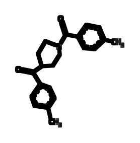 Cc1ccc(C(=O)C2CCN(C(=O)c3ccc(C)cc3)CC2)cc1